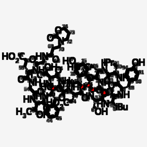 CC[C@H](C)[C@H](NC(=O)[C@H](CO)NC(=O)[C@H](Cc1ccc(O)cc1)NC(=O)[C@H](CC(=O)O)NC(=O)[C@H](CO)NC(=O)[C@@H](NC(=O)[C@H](Cc1ccccc1)NC(=O)[C@@H](NC(=O)CNC(=O)[C@H](CCC(=O)O)NC(=O)CNC(=O)CCN1CCCOC1=O)[C@@H](C)O)[C@@H](C)O)C(=O)N[C@@H](Cc1ccc(O)cc1)C(=O)N[C@@H](CC(C)C)C(=O)N[C@@H](CC(=O)O)C(=O)N[C@H](C)CCCCN